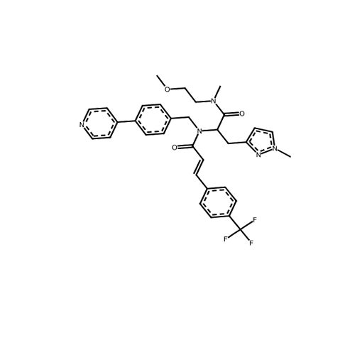 COCCN(C)C(=O)C(Cc1ccn(C)n1)N(Cc1ccc(-c2ccncc2)cc1)C(=O)C=Cc1ccc(C(F)(F)F)cc1